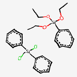 CCO[Si](OCC)(OCC)c1ccccc1.Cl[Si](Cl)(c1ccccc1)c1ccccc1